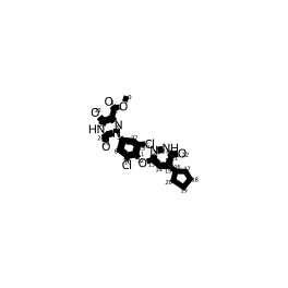 COC(=O)c1nn(-c2cc(Cl)c(Oc3cc(C4CCCC4)c(=O)[nH]n3)c(Cl)c2)c(=O)[nH]c1=O